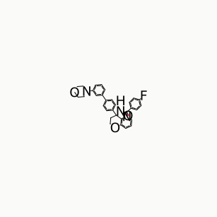 O=C(NC1(c2ccc(-c3cccc(N4CCOCC4)c3)cc2)CCOc2cccnc21)c1ccc(F)cc1